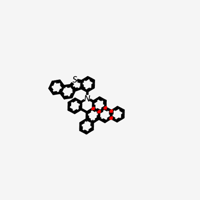 c1ccc(-c2ccc(N(c3ccccc3-c3cc4ccccc4c4ccccc34)c3cccc4sc5c6ccccc6ccc5c34)cc2)cc1